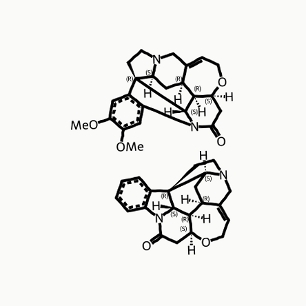 COc1cc2c(cc1OC)[C@@]13CCN4CC5=CCO[C@H]6CC(=O)N2[C@H]1[C@H]6[C@H]5C[C@H]43.O=C1C[C@@H]2OCC=C3CN4CC[C@]56c7ccccc7N1[C@H]5[C@H]2[C@H]3C[C@H]46